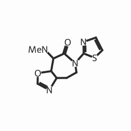 CNC1C(=O)N(c2nccs2)CCC2N=COC21